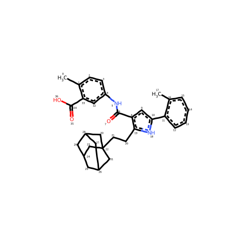 Cc1ccc(NC(=O)c2cc(-c3ccccc3C)[nH]c2CCC23CC4CC(CC(C4)C2)C3)cc1C(=O)O